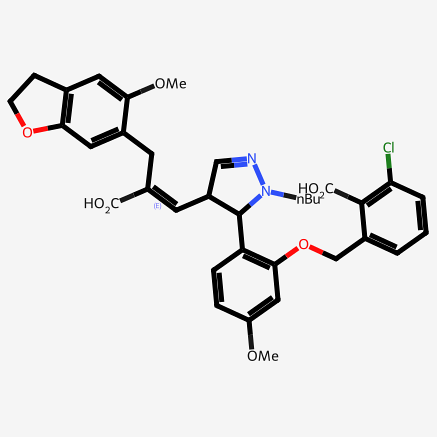 CCCCN1N=CC(/C=C(\Cc2cc3c(cc2OC)CCO3)C(=O)O)C1c1ccc(OC)cc1OCc1cccc(Cl)c1C(=O)O